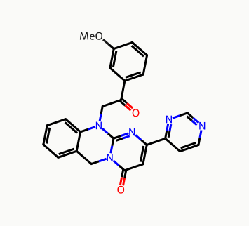 COc1cccc(C(=O)CN2c3ccccc3Cn3c2nc(-c2ccncn2)cc3=O)c1